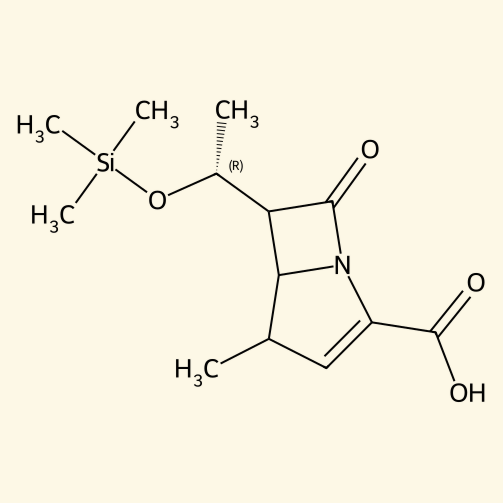 CC1C=C(C(=O)O)N2C(=O)C([C@@H](C)O[Si](C)(C)C)C12